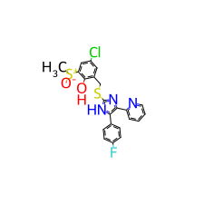 C[S+]([O-])c1cc(Cl)cc(CSc2nc(-c3ccccn3)c(-c3ccc(F)cc3)[nH]2)c1O